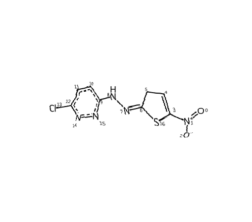 O=[N+]([O-])C1=CC/C(=N\Nc2ccc(Cl)nn2)S1